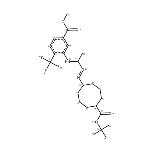 COC(=O)c1ccc(C(F)(F)F)c(NC(C)N=NC2CCCC(C(=O)OC(C)(C)C)CCC2)c1